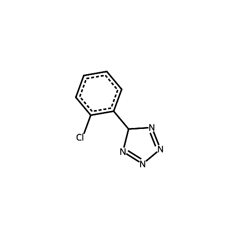 Clc1ccccc1C1N=NN=N1